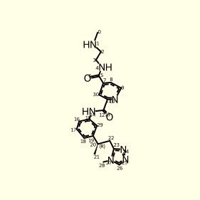 CNCCNC(=O)c1ccnc(C(=O)Nc2cccc([C@H](C)Cc3nncn3C)c2)c1